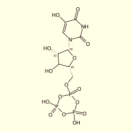 O=c1[nH]c(=O)n([C@@H]2O[C@H](COP3(=O)OP(=O)(O)OP(=O)(O)O3)C(O)[C@@H]2O)cc1O